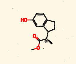 COC(=O)[C@H](C)C1CCc2ccc(O)cc21